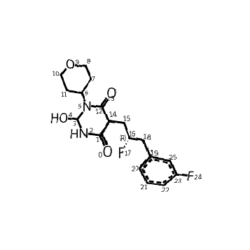 O=C1NC(O)N(C2CCOCC2)C(=O)C1C[C@@H](F)Cc1cccc(F)c1